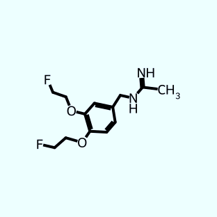 CC(=N)NCc1ccc(OCCF)c(OCCF)c1